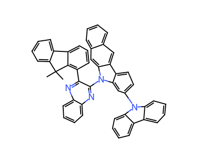 CC1(C)c2ccccc2-c2cccc(-c3nc4ccccc4nc3-n3c4cc(-n5c6ccccc6c6ccccc65)ccc4c4cc5ccccc5cc43)c21